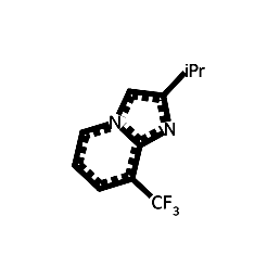 CC(C)c1cn2cccc(C(F)(F)F)c2n1